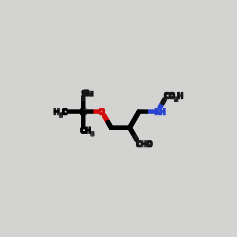 CC(C)(C)[Si](C)(C)OCC(C=O)CNC(=O)O